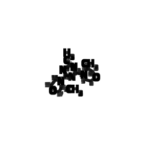 Cc1nc(N2CCOC[C@H]2C)nc(N2CCOC[C@H]2C)n1